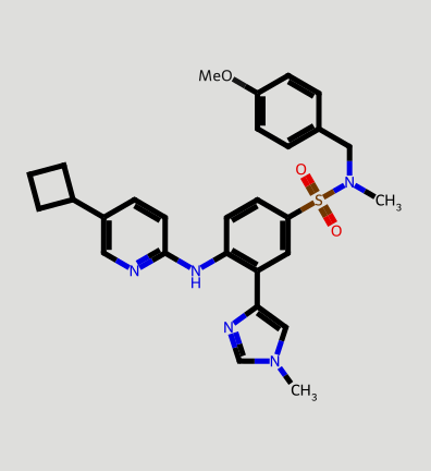 COc1ccc(CN(C)S(=O)(=O)c2ccc(Nc3ccc(C4CCC4)cn3)c(-c3cn(C)cn3)c2)cc1